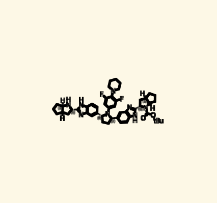 CC(C)(C)OC(=O)N1[C@H](c2nc3cc([C@H]4CC[C@H](c5ccc6[nH]c([C@@H]7C[C@@H]8CCC[C@@H]8N7)nc6c5)N4c4cc(F)c(N5CCCCC5)c(F)c4)ccc3[nH]2)C[C@@H]2CCC[C@@H]21